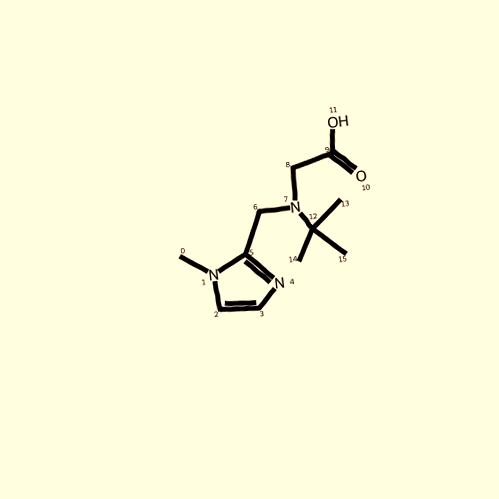 Cn1ccnc1CN(CC(=O)O)C(C)(C)C